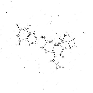 C[C@@H]1OC(=O)c2ccc(Nc3cc4c([C@](C)(N)C5CCC5)cnc(OC5CC5)c4cn3)nc2[C@H]1C